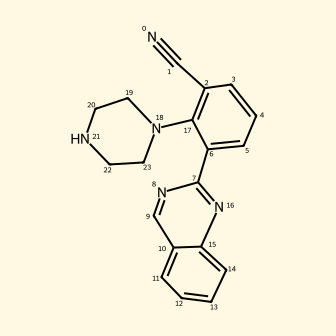 N#Cc1cccc(-c2ncc3ccccc3n2)c1N1CCNCC1